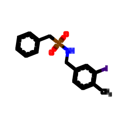 Cc1ccc(CNS(=O)(=O)Cc2ccccc2)cc1I